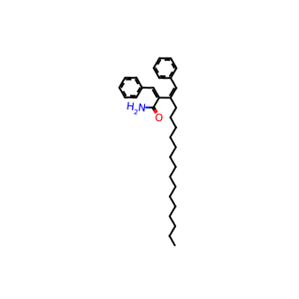 CCCCCCCCCCCCCCCC(=Cc1ccccc1)C(=Cc1ccccc1)C(N)=O